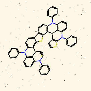 c1ccc(N2c3cccc4c3B(c3ccsc3N4c3ccccc3)c3c2ccc2c3sc3c4c(ccc32)N(c2ccccc2)c2cccc3c2B4c2ccsc2N3c2ccccc2)cc1